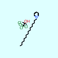 CC(C)(O)C(Cl)(Cl)Cl.CCCCCCCCCCCCCCCC[n+]1ccccc1.[Cl-]